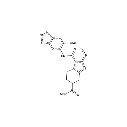 CNC(=O)[C@H]1CCc2c(sc3ncnc(Nc4cc5snnc5cc4OC)c23)C1